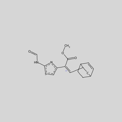 COC(=O)/C(=C\C1CC2C=CC1CC2)c1csc(NC=O)n1